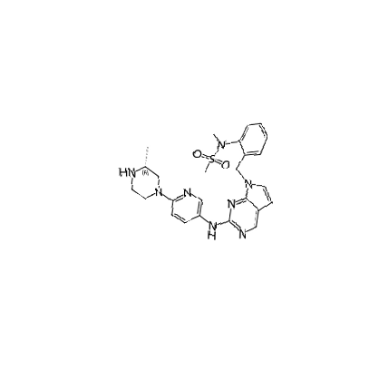 C[C@@H]1CN(c2ccc(Nc3ncc4ccn(Cc5ccccc5N(C)S(C)(=O)=O)c4n3)cn2)CCN1